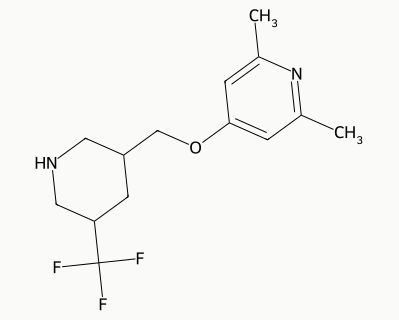 Cc1cc(OCC2CNCC(C(F)(F)F)C2)cc(C)n1